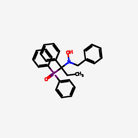 CCC(c1ccccc1)(N(O)Cc1ccccc1)P(=O)(c1ccccc1)c1ccccc1